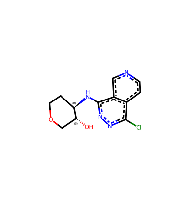 O[C@@H]1COCC[C@H]1Nc1nnc(Cl)c2ccncc12